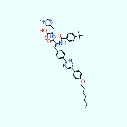 CCCCCCCOc1ccc(-c2cnc(-c3ccc(C[C@H](NC(=O)c4ccc(C(C)(C)C)cc4)C(=O)N[C@@H](Cc4cn(C)cn4)C(=O)O)cc3)nc2)cc1